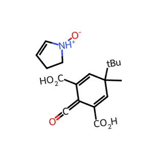 CC(C)(C)C1(C)C=C(C(=O)O)C(=C=O)C(C(=O)O)=C1.[O-][NH+]1C=CCC1